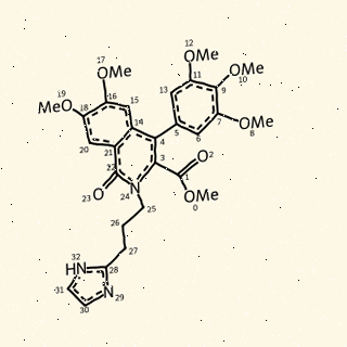 COC(=O)c1c(-c2cc(OC)c(OC)c(OC)c2)c2cc(OC)c(OC)cc2c(=O)n1CCCc1ncc[nH]1